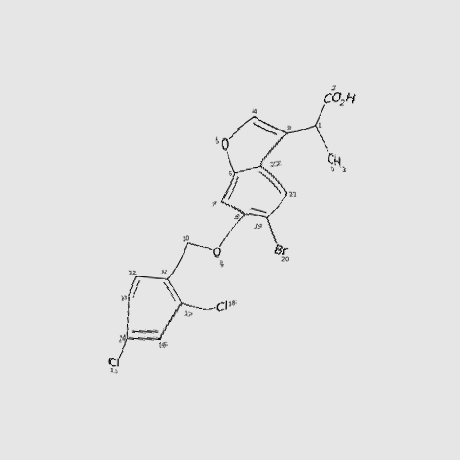 CC(C(=O)O)c1coc2cc(OCc3ccc(Cl)cc3Cl)c(Br)cc12